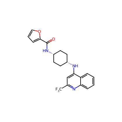 O=C(N[C@H]1CC[C@@H](Nc2cc(C(F)(F)F)nc3ccccc23)CC1)c1ccco1